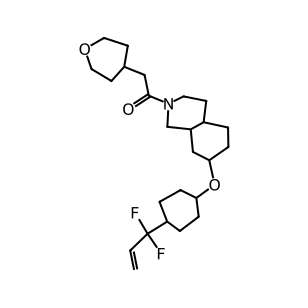 C=CC(F)(F)C1CCC(OC2CCC3CCN(C(=O)CC4CCOCC4)CC3C2)CC1